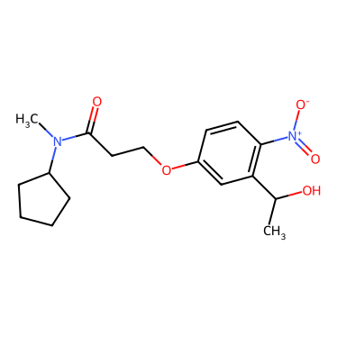 CC(O)c1cc(OCCC(=O)N(C)C2CCCC2)ccc1[N+](=O)[O-]